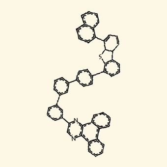 C1=CC2c3cccc(-c4ccc(-c5cccc(-c6cccc(-c7cnc8c9ccccc9c9ccccc9c8n7)c6)c5)cc4)c3SC2C(c2cccc3ccccc23)=C1